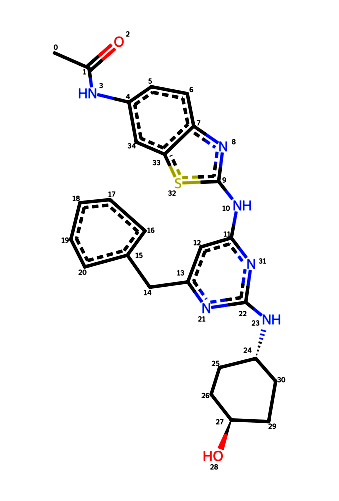 CC(=O)Nc1ccc2nc(Nc3cc(Cc4ccccc4)nc(N[C@H]4CC[C@H](O)CC4)n3)sc2c1